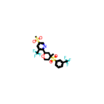 CC1(S(=O)(=O)c2cccc(C(F)(F)F)c2)CCOC(c2ncc(S(C)(=O)=O)cc2C(F)(F)F)C1